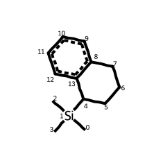 C[Si](C)(C)C1CCCc2ccccc21